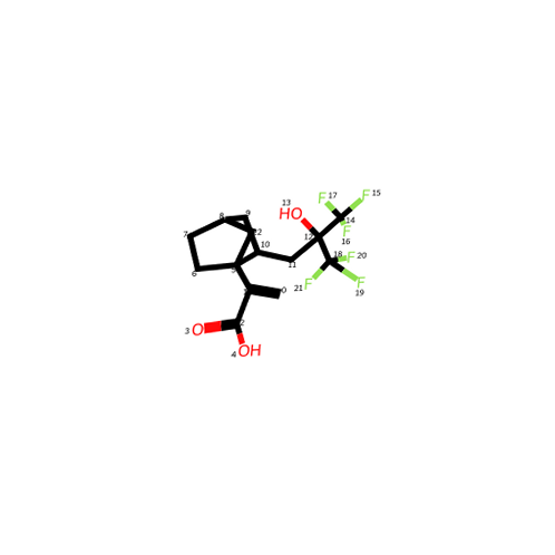 C=C(C(=O)O)C12CCC(CC1CC(O)(C(F)(F)F)C(F)(F)F)C2